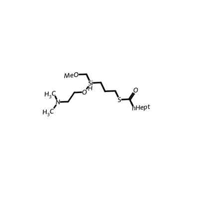 CCCCCCCC(=O)SCCC[SiH](COC)OCCN(C)C